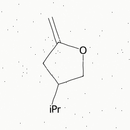 C=C1CC(C(C)C)CO1